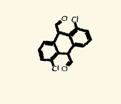 O=CC1c2cccc(Cl)c2C(C=O)c2cccc(Cl)c21